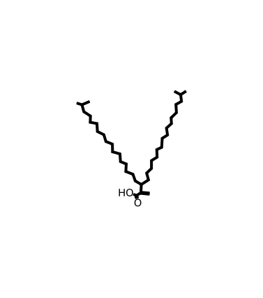 C=C(C(=O)O)C(CCCCCCCCCCCCCCCC(C)C)CCCCCCCCCCCCCCCC(C)C